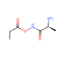 CCC(=O)ONC(=O)[C@H](C)N